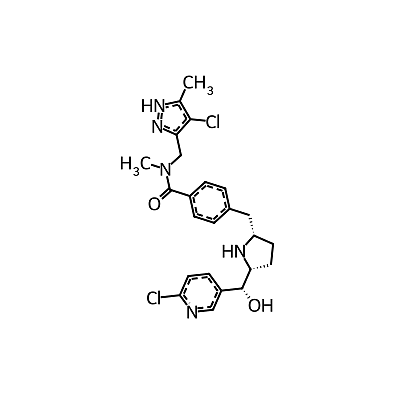 Cc1[nH]nc(CN(C)C(=O)c2ccc(C[C@@H]3CC[C@H]([C@H](O)c4ccc(Cl)nc4)N3)cc2)c1Cl